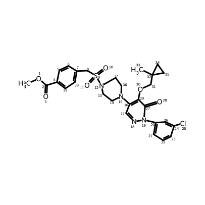 COC(=O)c1ccc(CS(=O)(=O)N2CCN(c3cnn(-c4cccc(Cl)c4)c(=O)c3OCC3(C)CC3)CC2)cc1